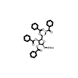 CCCCCCS[C@@H]1O[C@@H]([C@@H](COC(=O)c2ccccc2)OC(=O)c2ccccc2)[C@H](OC(=O)c2ccccc2)[C@H]1OC(=O)c1ccccc1